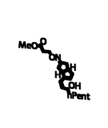 CCCCCC(O)/C=C\C1=CC[C@@H]2C/C(=N/OCCC(=O)OC)C[C@@H]12